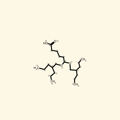 CCCC(CCC)COC(CCCCC(=O)O)OCC(CCC)CCC